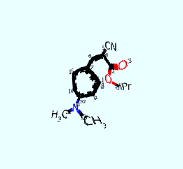 CC(C)OC(=O)C(C#N)=Cc1ccc(N(C)C)cc1